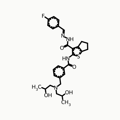 CC(O)CN(Cc1cccc(C(=O)Nc2sc3c(c2C(=O)NN=Cc2ccc(F)cc2)CCC3)c1)CC(C)O